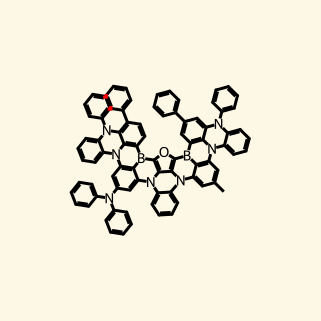 Cc1cc2c3c(c1)N1c4ccccc4N4c5cc(N(c6ccccc6)c6ccccc6)cc6c5B(c5ccc(-c7ccccc7)c7c5N6c5ccccc5N7c5ccccc5)c5oc(c1c54)B3c1cc(-c3ccccc3)cc3c1N2c1ccccc1N3c1ccccc1